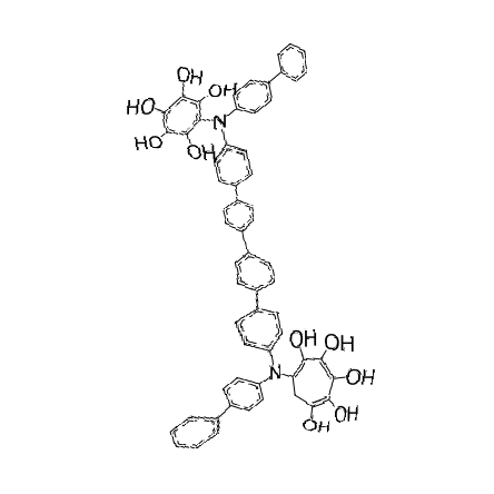 OC1=C(O)C(O)=C(O)C(O)=C(N(c2ccc(-c3ccccc3)cc2)c2ccc(-c3ccc(-c4ccc(-c5ccc(N(c6ccc(-c7ccccc7)cc6)c6c(O)c(O)c(O)c(O)c6O)cc5)cc4)cc3)cc2)C1